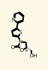 O=C1O[C@@H](CO)CN1c1ccc(-c2ccccn2)s1